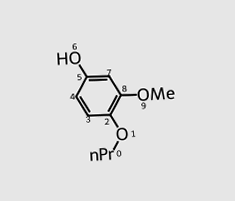 CCCOc1ccc(O)cc1OC